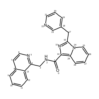 O=C(NCc1nccc2ccccc12)c1nc(Cc2cccnc2)n2ccccc12